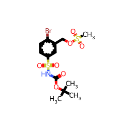 CC(C)(C)OC(=O)NS(=O)(=O)c1ccc(Br)c(COS(C)(=O)=O)c1